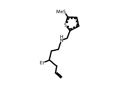 C=CCC(CC)CCNCc1ccc(SC)s1